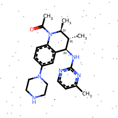 CC(=O)N1c2ccc(N3CCNCC3)cc2[C@H](Nc2nccc(C)n2)[C@@H](C)[C@@H]1C